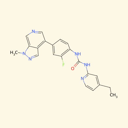 CCc1ccnc(NC(=O)Nc2ccc(-c3cncc4c3cnn4C)cc2F)c1